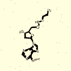 CNc1ncnc2c1ncn2C1C[C@H](O)C(COPOCCC#N)O1